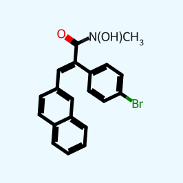 CN(O)C(=O)C(=Cc1ccc2ccccc2c1)c1ccc(Br)cc1